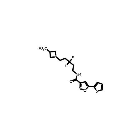 O=C(NCCC(F)(F)CCN1CC(C(=O)O)C1)c1cc(-c2cccs2)on1